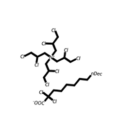 CCCCCCCCCCCCCCCCC(Cl)(Cl)C(=O)[O-].ClCC(Cl)C[N+](CC(Cl)CCl)(CC(Cl)CCl)CC(Cl)CCl